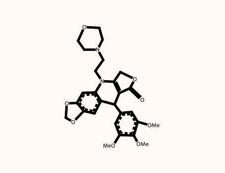 COc1cc(C2C3=C(COC3=O)N(CCN3CCOCC3)c3cc4c(cc32)OCO4)cc(OC)c1OC